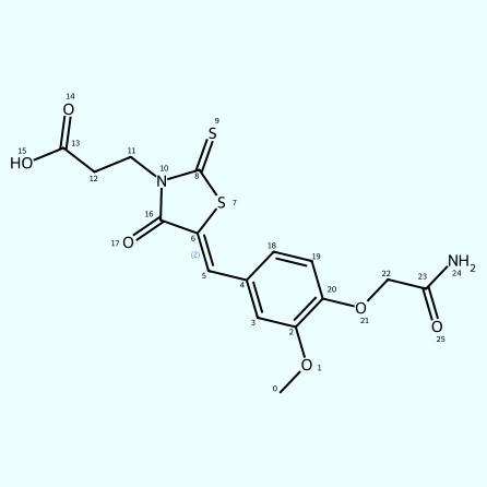 COc1cc(/C=C2\SC(=S)N(CCC(=O)O)C2=O)ccc1OCC(N)=O